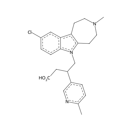 Cc1ccc(C(CC(=O)O)Cn2c3c(c4cc(Cl)ccc42)CCN(C)CC3)cn1